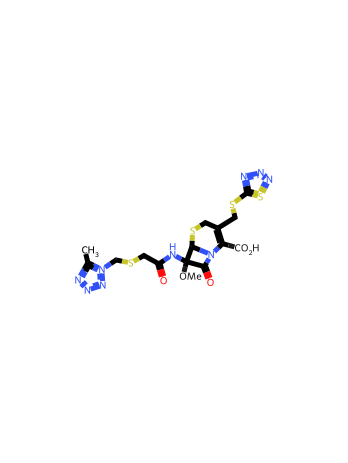 COC1(NC(=O)CSCn2nnnc2C)C(=O)N2C(C(=O)O)=C(CSc3nnns3)CSC21